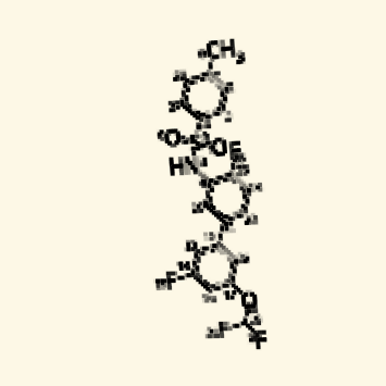 Cc1ccc(S(=O)(=O)Nc2cc(-c3cc(F)cc(OC(F)F)c3)ccc2F)cc1